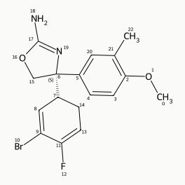 COc1ccc([C@@]2(C3C=C(Br)C(F)=CC3)COC(N)=N2)cc1C